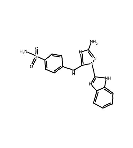 Nc1nc(Nc2ccc(S(N)(=O)=O)cc2)n(-c2nc3ccccc3[nH]2)n1